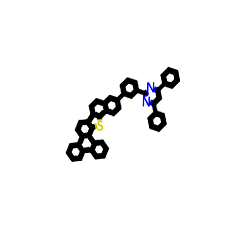 c1ccc(-c2cc(-c3ccccc3)nc(-c3cccc(-c4ccc5c(ccc6c7ccc8c9ccccc9c9ccccc9c8c7sc56)c4)c3)n2)cc1